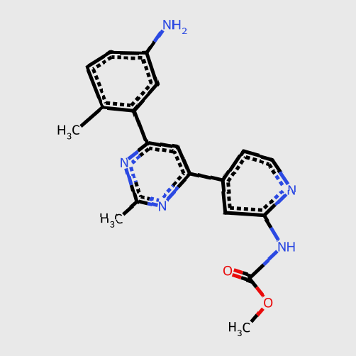 COC(=O)Nc1cc(-c2cc(-c3cc(N)ccc3C)nc(C)n2)ccn1